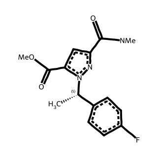 CNC(=O)c1cc(C(=O)OC)n([C@@H](C)c2ccc(F)cc2)n1